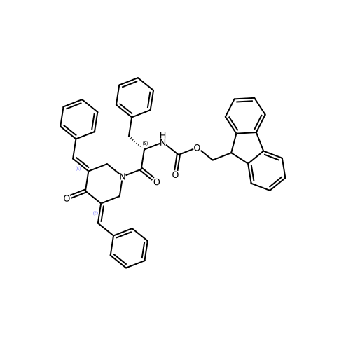 O=C(N[C@@H](Cc1ccccc1)C(=O)N1C/C(=C\c2ccccc2)C(=O)/C(=C/c2ccccc2)C1)OCC1c2ccccc2-c2ccccc21